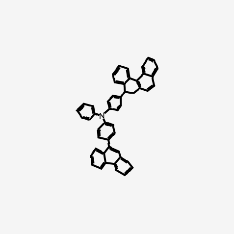 c1ccc(N(c2ccc(-c3cc4ccccc4c4ccccc34)cc2)c2ccc(C3Cc4ccc5ccccc5c4-c4ccccc43)cc2)cc1